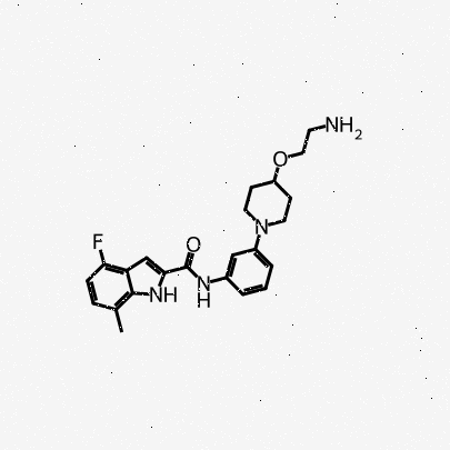 Cc1ccc(F)c2cc(C(=O)Nc3cccc(N4CCC(OCCN)CC4)c3)[nH]c12